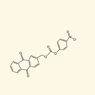 O=C(OCc1ccc2c(c1)C(=O)c1ccccc1C2=O)Oc1ccc([N+](=O)[O-])cc1